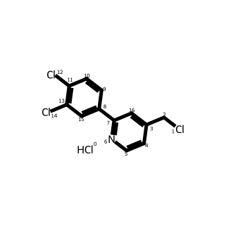 Cl.ClCc1ccnc(-c2ccc(Cl)c(Cl)c2)c1